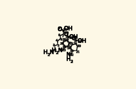 NCCCCCCCC(=O)O.NC[C@H]1CC[C@H](C(=O)O)CC1.NCc1ccc(C(=O)O)cc1